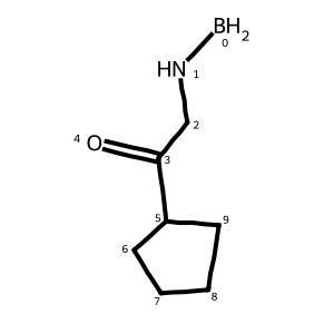 BNCC(=O)C1CCCC1